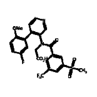 COc1ccc(F)cc1-c1ccncc1N(CC(=O)O)C(=O)c1cc(C(F)(F)F)cc(S(C)(=O)=O)c1